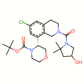 CC(C)(C)OC(=O)N1CCOC[C@H]1c1cc(Cl)cc2c1CN(C(=O)N1CC(O)CC1(C)C)CC2